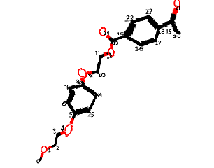 COCCOc1ccc(OCCOC(=O)c2ccc(C(C)=O)cc2)cc1